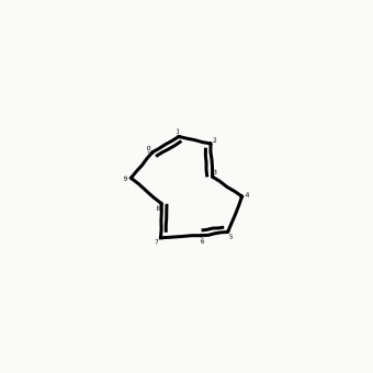 [C]1=C\C=C\C/C=C\C=C\C/1